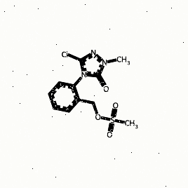 Cn1nc(Cl)n(-c2ccccc2COS(C)(=O)=O)c1=O